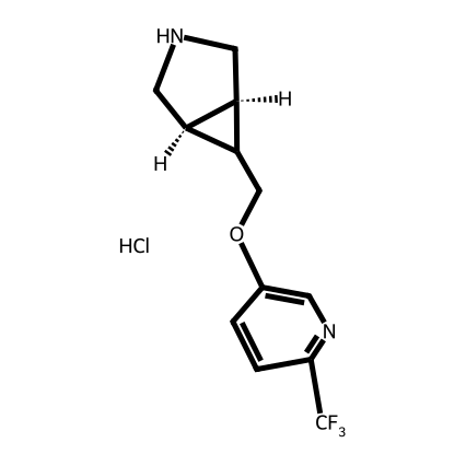 Cl.FC(F)(F)c1ccc(OCC2[C@H]3CNC[C@@H]23)cn1